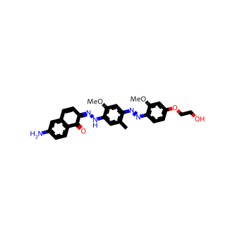 COc1cc(OCCO)ccc1/N=N/c1cc(OC)c(N/N=C2/C=Cc3cc(N)ccc3C2=O)cc1C